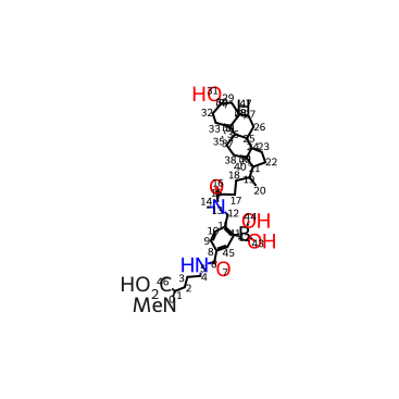 CNC(CCCNC(=O)c1ccc(CN(C)C(=O)CCC(C)C2CCC3C4CC[C@@H]5C[C@H](O)CC[C@]5(C)C4CC[C@]23C)c(B(O)O)c1)C(=O)O